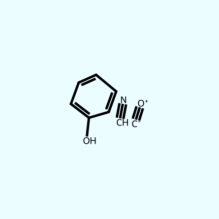 C#N.Oc1ccccc1.[C-]#[O+]